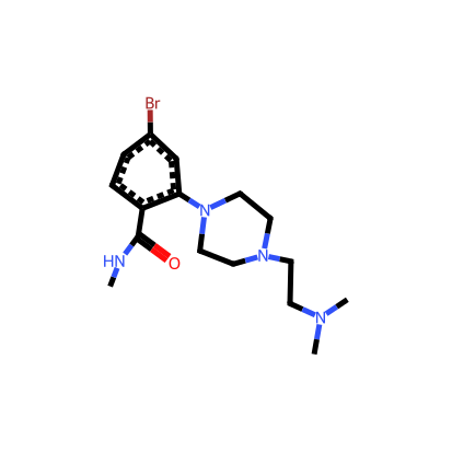 CNC(=O)c1ccc(Br)cc1N1CCN(CCN(C)C)CC1